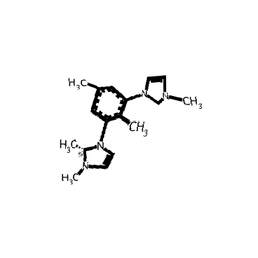 Cc1cc(N2C=CN(C)C2)c(C)c(N2C=CN(C)[C@@H]2C)c1